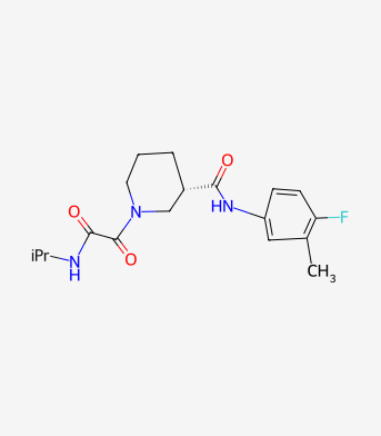 Cc1cc(NC(=O)[C@H]2CCCN(C(=O)C(=O)NC(C)C)C2)ccc1F